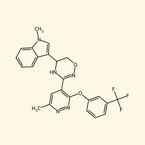 Cc1cc(C2=NOCC(c3cn(C)c4ccccc34)N2)c(Oc2cccc(C(F)(F)F)c2)nn1